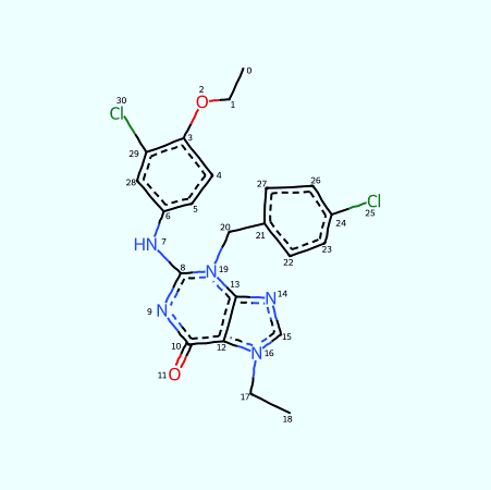 CCOc1ccc(Nc2nc(=O)c3c(ncn3CC)n2Cc2ccc(Cl)cc2)cc1Cl